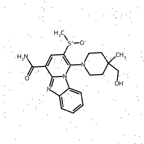 C[S+]([O-])c1cc(C(N)=O)c2nc3ccccc3n2c1N1CCC(C)(CO)CC1